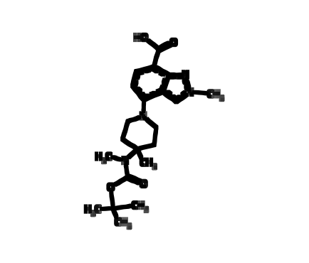 CN(C(=O)OC(C)(C)C)C1(C)CCN(c2ccc(C(=O)O)c3nn(C)cc23)CC1